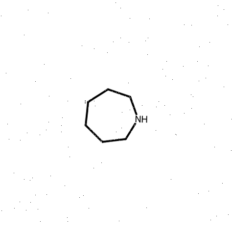 [C]1CCCNCC1